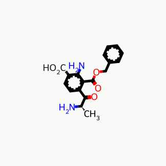 C[C@H](N)C(=O)c1ccc(C(=O)O)c(N)c1C(=O)OCc1ccccc1